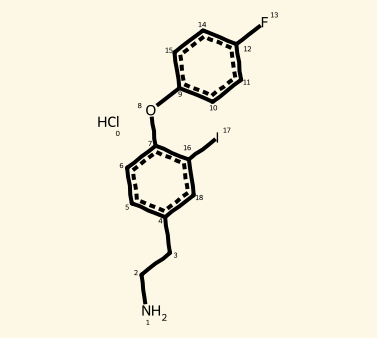 Cl.NCCc1ccc(Oc2ccc(F)cc2)c(I)c1